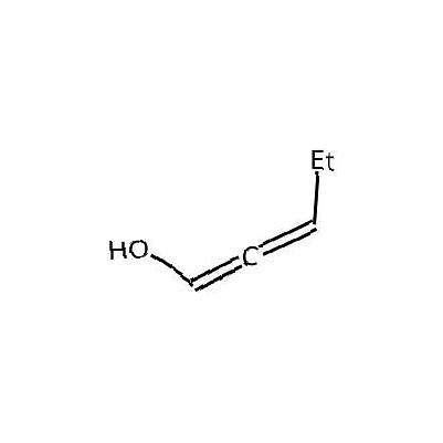 CCC=C=CO